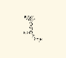 O=C(O)C1CCN(c2cc(CN3CCC4(CCN(C(=O)OC(C(F)(F)F)C(F)(F)F)CC4)C3)cc(C(F)(F)F)c2)CC1